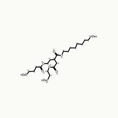 CCCCCCCCCCCCCCCCCCOC(=O)C(CCOC(=O)CCCCCCCCCCCCC)CC(=O)OCCCCCCCCCCCC